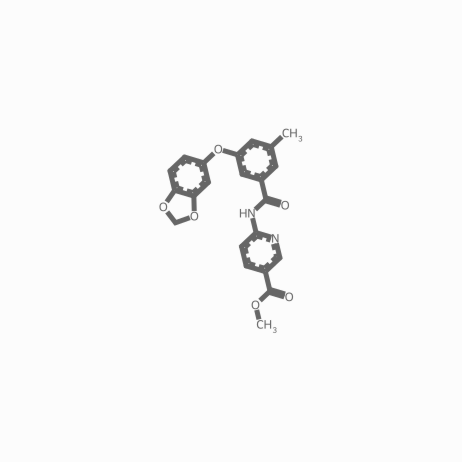 COC(=O)c1ccc(NC(=O)c2cc(C)cc(Oc3ccc4c(c3)OCO4)c2)nc1